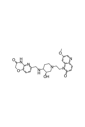 COc1cnc2ccc(=O)n(CCN3CCC(NCc4ccc5c(n4)NC(=O)CO5)[C@H](O)C3)c2c1